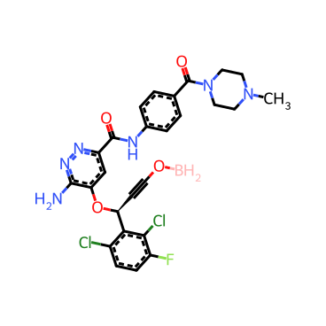 BOC#C[C@H](Oc1cc(C(=O)Nc2ccc(C(=O)N3CCN(C)CC3)cc2)nnc1N)c1c(Cl)ccc(F)c1Cl